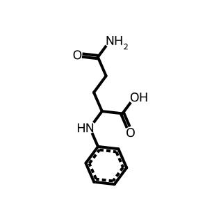 NC(=O)CCC(Nc1ccccc1)C(=O)O